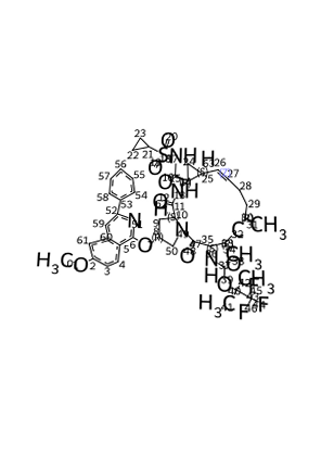 COc1ccc2c(O[C@@H]3C[C@H]4C(=O)N[C@]5(C(=O)NS(=O)(=O)C6CC6)C[C@H]5/C=C\CC[C@@H](C)C[C@@H](C)[C@H](NC(=O)OC(C)(C)C(F)(F)F)C(=O)N4C3)nc(-c3ccccc3)cc2c1